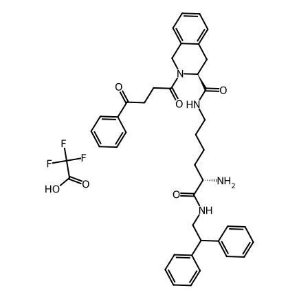 N[C@@H](CCCCNC(=O)[C@@H]1Cc2ccccc2CN1C(=O)CCC(=O)c1ccccc1)C(=O)NCC(c1ccccc1)c1ccccc1.O=C(O)C(F)(F)F